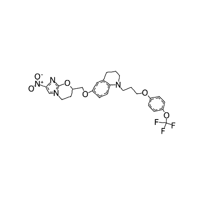 O=[N+]([O-])c1cn2c(n1)OC(COc1ccc3c(c1)CCCN3CCCOc1ccc(OC(F)(F)F)cc1)CC2